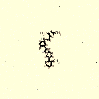 Cc1nc(C)c(C(=O)Nc2ccc(F)c(-c3cn4cc(-c5ncccc5C)cnc4n3)c2)o1